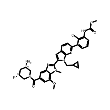 COC(=O)Nc1cccc(-c2ccc3cc(-c4nc5cc(C(=O)N6C[C@H](N)C[C@@H](F)C6)cc(OC)c5n4C)n(CC4CC4)c3n2)c1Cl